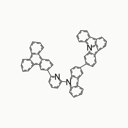 c1cc(-c2ccc3c4ccccc4c4ccccc4c3c2)nc(-n2c3ccccc3c3cc(-c4ccc5c6cccc7c8ccccc8n(c5c4)c76)ccc32)c1